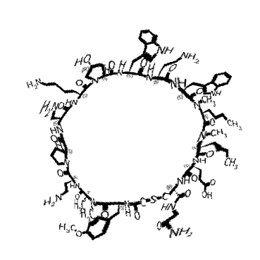 CCCC[C@H]1C(=O)N(C)[C@@H](CCCC)C(=O)N[C@@H](CCC(=O)O)C(=O)N[C@H](C(=O)NCC(N)=O)CSCC(=O)N[C@@H](Cc2ccc(OC)cc2)C(=O)N(C)[C@@H](C)C(=O)N[C@@H](CCN)C(=O)N2CCC[C@H]2C(=O)N[C@@H](CN)C(=O)N[C@@H](CCCCN)C(=O)N2C[C@H](O)C[C@H]2C(=O)N[C@@H](Cc2c[nH]c3ccccc23)C(=O)N[C@@H](CCN)C(=O)N[C@@H](Cc2c[nH]c3ccccc23)C(=O)N1C